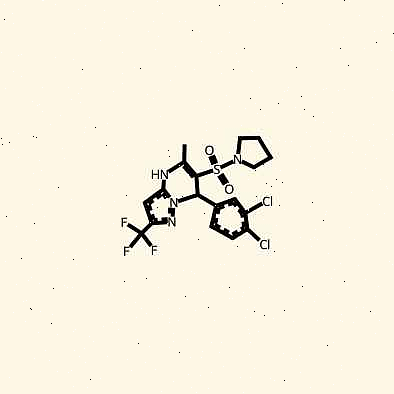 CC1=C(S(=O)(=O)N2CCCC2)C(c2ccc(Cl)c(Cl)c2)n2nc(C(F)(F)F)cc2N1